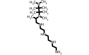 CC(CNCCNCCNCCN)N(C)C(C)(C)C(C)(C)N(C)C